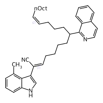 CCCCCCCC/C=C\CCCC(CCCC/C=C(\C#N)c1c[nH]c2cccc(C)c12)c1nccc2ccccc12